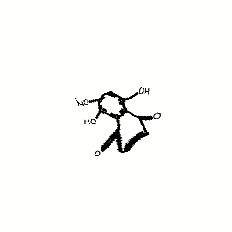 O=C1C=CC(=O)c2c(O)c(O)cc(O)c21